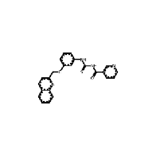 O=C(NC(=S)Nc1cccc(OCc2ccc3ccccc3n2)c1)c1cccnc1